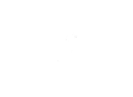 O=COCC(Br)c1cccnc1